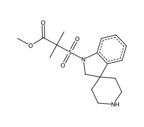 COC(=O)C(C)(C)S(=O)(=O)N1CC2(CCNCC2)c2ccccc21